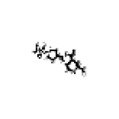 CN(C)S(=O)(=O)N1CCC(COc2cnc(CCl)cc2C(F)F)CC1